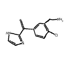 C=C(c1ccc(Cl)c(CN)c1)c1ncc[nH]1